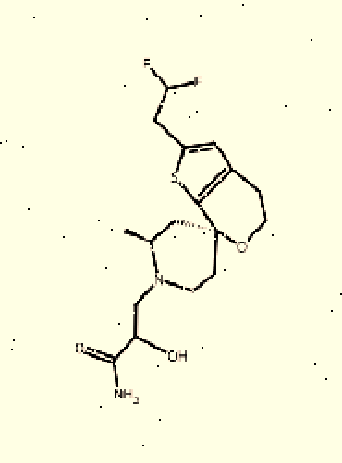 C[C@H]1C[C@@]2(CCN1CC(O)C(N)=O)OCCc1cc(CC(F)F)sc12